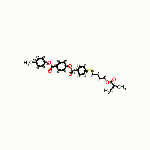 C=C(C)C(=O)OCCCCSc1ccc(C(=O)Oc2ccc(C(=O)Oc3ccc(C)cc3)cc2)cc1